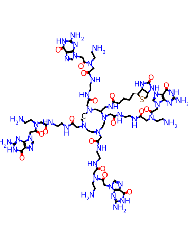 NCCN(CC(=O)NCCNC(=O)CN1CCN(CC(=O)NCCNC(=O)CN(CCN)C(=O)Cn2cnc3c(=O)[nH]c(N)nc32)CCN(CC(=O)NCCNC(=O)CN(CCN)C(=O)Cn2cnc3c(=O)[nH]c(N)nc32)C(CNC(=O)CCCC[C@H]2SCC3NC(=O)NC32)CN(CC(=O)NCCNC(=O)CN(CCN)C(=O)Cn2cnc3c(=O)[nH]c(N)nc32)CC1)C(=O)Cn1cnc2c(=O)[nH]c(N)nc21